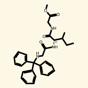 CCC(C)[C@H](NC(=O)CNC(c1ccccc1)(c1ccccc1)c1ccccc1)C(=O)NCC(=O)OC